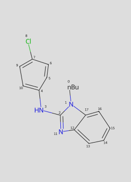 CCCCn1c(Nc2ccc(Cl)cc2)nc2ccccc21